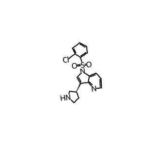 O=S(=O)(c1ccccc1Cl)n1cc([C@H]2CCNC2)c2ncccc21